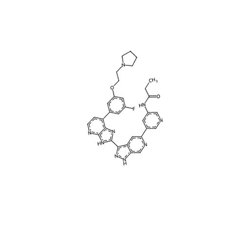 CCC(=O)Nc1cncc(-c2cc3c(-c4nc5c(-c6cc(F)cc(OCCN7CCCC7)c6)ccnc5[nH]4)n[nH]c3cn2)c1